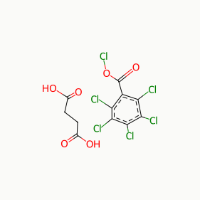 O=C(O)CCC(=O)O.O=C(OCl)c1c(Cl)c(Cl)c(Cl)c(Cl)c1Cl